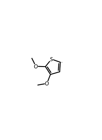 COc1c[c]sc1OC